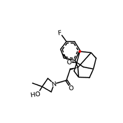 CO[C@]12CC3CC(C1)[C@@](CC(=O)N1CC(C)(O)C1)(c1ccc(F)cc1)C(C3)C2